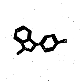 CC1CC(c2ccc(Cl)cc2)c2ccccc21